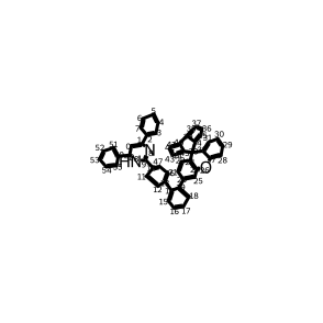 C1=C(c2ccccc2)N=C(c2ccc(-c3ccccc3-c3ccc4c(c3)Oc3ccccc3C43c4ccccc4-c4ccccc43)cc2)NC1c1ccccc1